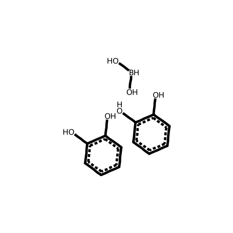 OBO.Oc1ccccc1O.Oc1ccccc1O